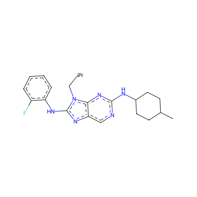 CC(C)Cn1c(Nc2ccccc2F)nc2cnc(NC3CCC(C)CC3)nc21